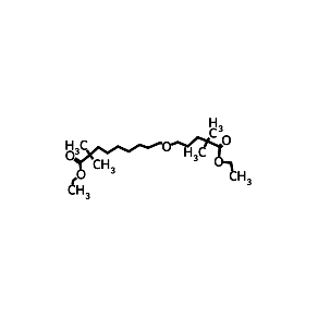 CCOC(=O)C(C)(C)CCCCCCCOCCCC(C)(C)C(=O)OCC